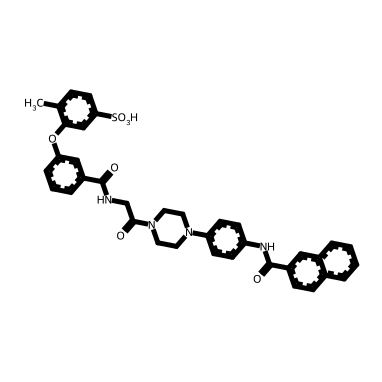 Cc1ccc(S(=O)(=O)O)cc1Oc1cccc(C(=O)NCC(=O)N2CCN(c3ccc(NC(=O)c4ccc5ccccc5c4)cc3)CC2)c1